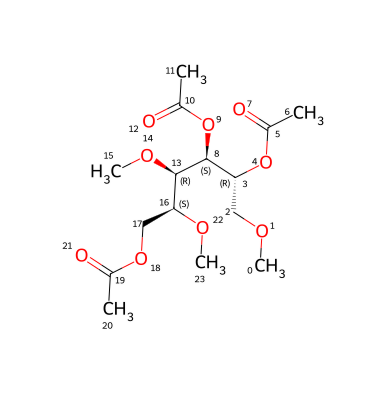 COC[C@@H](OC(C)=O)[C@H](OC(C)=O)[C@H](OC)[C@H](COC(C)=O)OC